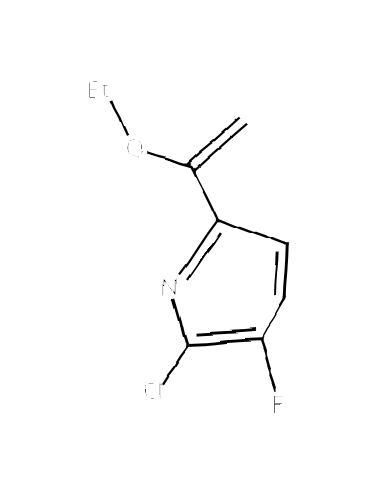 C=C(OCC)c1ccc(F)c(Cl)n1